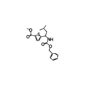 COC(=O)c1ccc(C(CC(C)C)NC(=O)OCc2ccccc2)s1